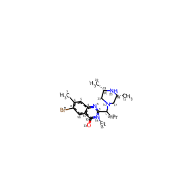 CCCC(c1nc2cc(C)c(Br)cc2c(=O)n1CC)N1C[C@@H](C)N[C@@H](C)C1